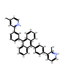 Cc1ccnc(-c2cccc(-c3c4ccccc4c(-c4ccc(-c5cccnc5C)cc4)c4ccccc34)c2)c1